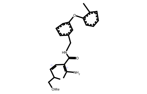 COCC(C)/C=C\C(C(=O)NCc1cccc(Oc2ccccc2C)c1)=C(/C)N